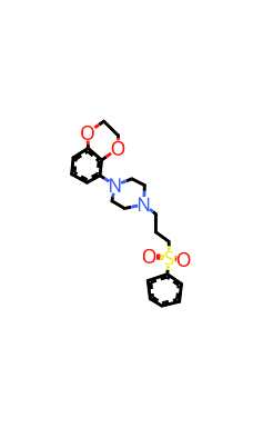 O=S(=O)(CCCN1CCN(c2cccc3c2OCCO3)CC1)c1ccccc1